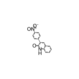 O=c1[nH]c2ccccc2cc1-c1ccc([N+](=O)[O-])cc1